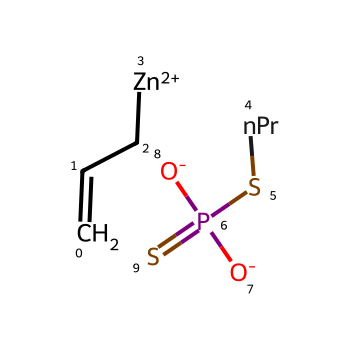 C=C[CH2][Zn+2].CCCSP([O-])([O-])=S